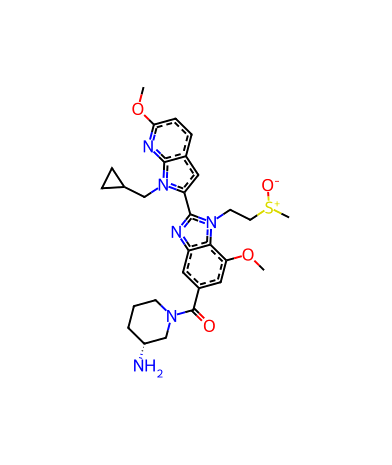 COc1ccc2cc(-c3nc4cc(C(=O)N5CCC[C@@H](N)C5)cc(OC)c4n3CC[S+](C)[O-])n(CC3CC3)c2n1